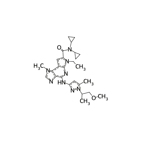 CCn1c(C(=O)N(C2CC2)C2CC2)cc2c3c(ncn3C)c(Nc3cc(C)n(C(C)COC)n3)nc21